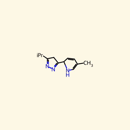 CC1=CNC(C2=NN=C(C(C)C)C2)C=C1